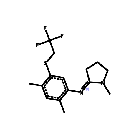 Cc1cc(C)c(SCC(F)(F)F)cc1/N=C1\CCCN1C